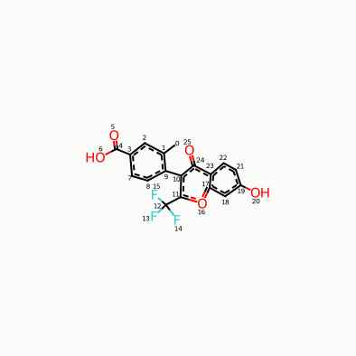 Cc1cc(C(=O)O)ccc1-c1c(C(F)(F)F)oc2cc(O)ccc2c1=O